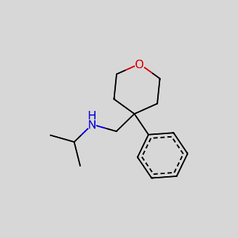 CC(C)NCC1(c2ccccc2)CCOCC1